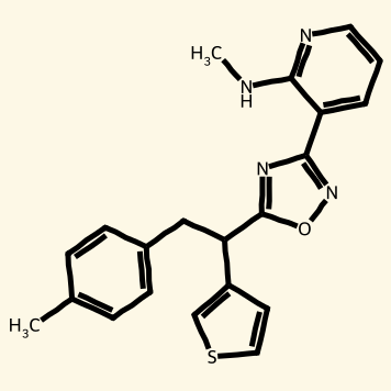 CNc1ncccc1-c1noc(C(Cc2ccc(C)cc2)c2ccsc2)n1